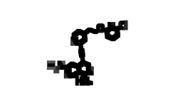 CNc1ncc(C#Cc2cc(CCOc3cccc(Cl)n3)ccn2)c2cc(N)ncc12